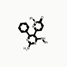 CC(C)Nc1nc(N)nc(-c2ccccc2)c1-c1ccc(=O)n(C(C)C)n1